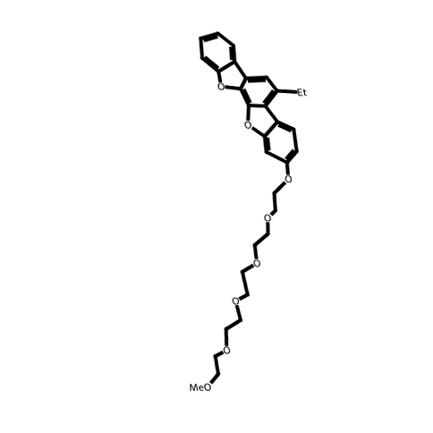 CCc1cc2c3ccccc3oc2c2oc3cc(OCCOCCOCCOCCOCCOC)ccc3c12